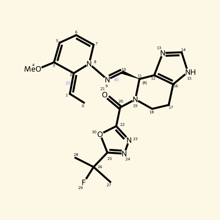 C/C=C1/C(OC)=CC=CN1/N=C/[C@H]1c2nc[nH]c2CCN1C(=O)c1nnc(C(C)(C)F)o1